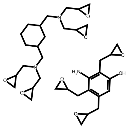 C1CC(CN(CC2CO2)CC2CO2)CC(CN(CC2CO2)CC2CO2)C1.Nc1c(CC2CO2)c(O)cc(CC2CO2)c1CC1CO1